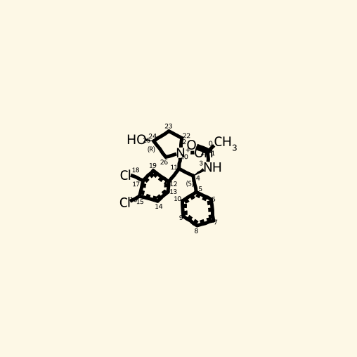 CC(=O)N[C@@H](c1ccccc1)C(c1ccc(Cl)c(Cl)c1)[N+]1(O)CC[C@@H](O)C1